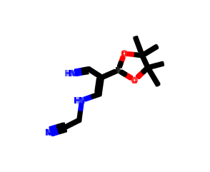 CC1(C)OB(/C(C=N)=C/NCC#N)OC1(C)C